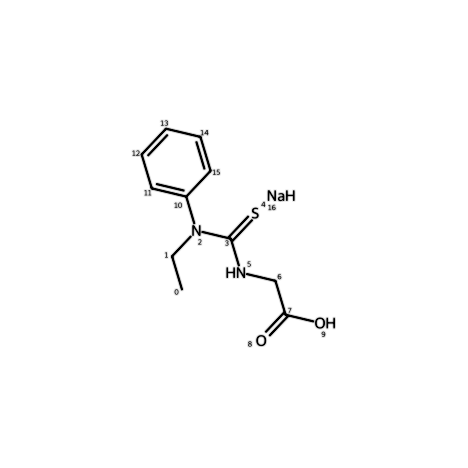 CCN(C(=S)NCC(=O)O)c1ccccc1.[NaH]